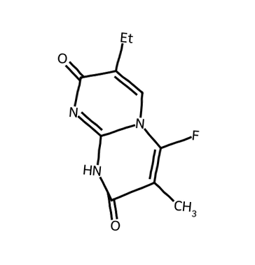 CCc1cn2c(F)c(C)c(=O)[nH]c2nc1=O